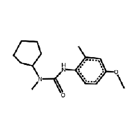 COc1ccc(NC(=O)N(C)C2CCCCC2)c(C)c1